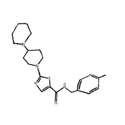 Cc1ccc(CNC(=O)c2cnc(N3CCC(N4CCCCC4)CC3)s2)cn1